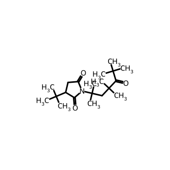 CC(C)(C)C(=O)C(C)(C)CC(C)(C)N1C(=O)CC(C(C)(C)C)C1=O